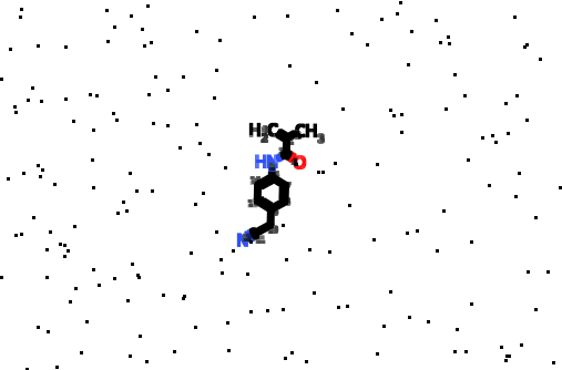 C=C(C)C(=O)Nc1ccc(CC#N)cc1